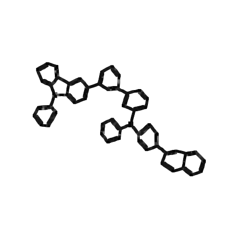 c1ccc(N(c2ccc(-c3ccc4ccccc4c3)cc2)c2cccc(-c3cccc(-c4ccc5c(c4)c4ccccc4n5-c4ccccc4)c3)c2)cc1